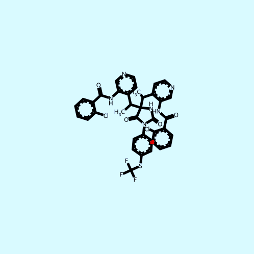 CC(c1ccncc1NC(=O)c1ccccc1Cl)C1(C(C)c2ccncc2NC(=O)c2ccccc2Cl)NC(=O)N(c2ccc(SC(F)(F)F)cc2)C1=O